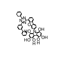 Oc1cc(O)c2c(c1O)c1c(O)c(O)cc(O)c1n2-c1ccc2c(c1)oc1c(-c3nc(C4=CC=CCC4)nc(-c4cccc(-c5ccccc5)c4)n3)cccc12